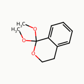 COC1(OC)OCCc2ccccc21